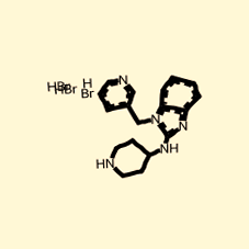 Br.Br.Br.c1cncc(Cn2c(NC3CCNCC3)nc3ccccc32)c1